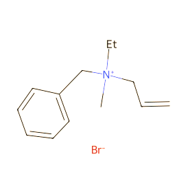 C=CC[N+](C)(CC)Cc1ccccc1.[Br-]